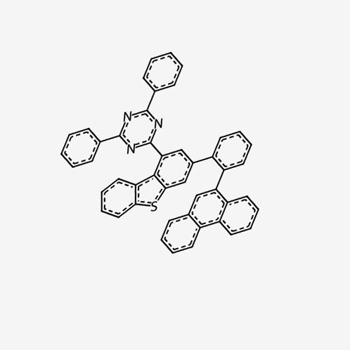 c1ccc(-c2nc(-c3ccccc3)nc(-c3cc(-c4ccccc4-c4cc5ccccc5c5ccccc45)cc4sc5ccccc5c34)n2)cc1